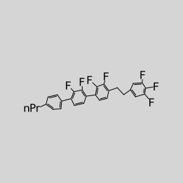 CCCc1ccc(-c2ccc(-c3ccc(CCc4cc(F)c(F)c(F)c4)c(F)c3F)c(F)c2F)cc1